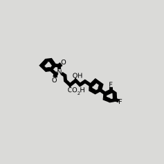 O=C(O)[C@@H](CCN1C(=O)c2ccccc2C1=O)[C@H](O)CCc1ccc(-c2ccc(F)cc2F)cc1